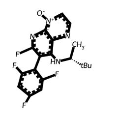 C[C@@H](Nc1c(-c2c(F)cc(F)cc2F)c(F)nc2c1ncc[n+]2[O-])C(C)(C)C